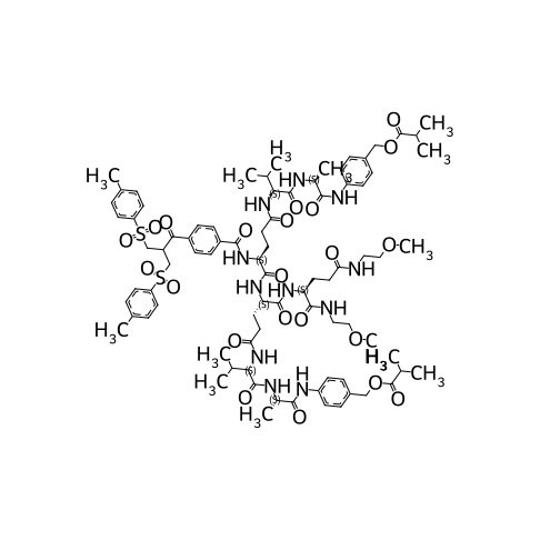 COCCNC(=O)CC[C@H](NC(=O)[C@H](CCC(=O)N[C@H](C(=O)N[C@@H](C)C(=O)Nc1ccc(COC(=O)C(C)C)cc1)C(C)C)NC(=O)[C@H](CCC(=O)N[C@H](C(=O)N[C@@H](C)C(=O)Nc1ccc(COC(=O)C(C)C)cc1)C(C)C)NC(=O)c1ccc(C(=O)C(CS(=O)(=O)c2ccc(C)cc2)CS(=O)(=O)c2ccc(C)cc2)cc1)C(=O)NCCOC